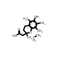 CC.Cc1c(C)c2c(c(C)c1O)CCC(C)(CC(=O)O)O2